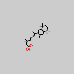 CC(=CC=C/C(C)=C\C(=O)O)c1cc2c(cc1C)C(C)(C)CCC2(C)C